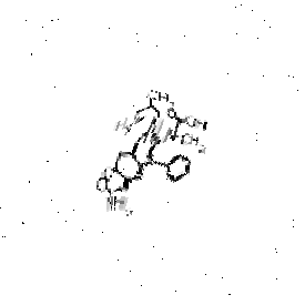 CC(C)CN1C=C2CC(=O)C(CC(N)=O)C=C2C(c2ccccc2)=C1N(C)C(=O)O